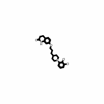 O=C1CCc2ccc(OCCCC3CCN(c4cccc(Cl)c4Cl)CC3)cc2N1